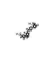 CCc1nc(-c2c(C(F)(F)F)ccc(CNC(=O)C3CCN(c4ccc(Cl)c(OC)c4)CC3)c2F)[nH]c(=O)c1F